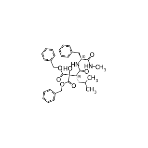 CNC(=O)[C@H](Cc1ccccc1)NC(=O)[C@H](CC(C)C)C(O)(C(=O)OCc1ccccc1)C(=O)OCc1ccccc1